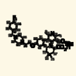 Cc1nc(C)c([C@H](OC(C)(C)C)C(=O)O)c(N2CCC(C)(C)CC2)c1-c1ccc(OCCN2CCN(Cc3ccc(F)cc3)CC2)cc1